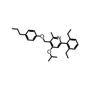 CCCc1ccc(OCc2c(OC(C)C)cc(-c3c(CC)cccc3CC)nc2C)cc1